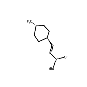 CC(C)(C)[S+]([O-])/N=C/[C@H]1CC[C@H](C(F)(F)F)CC1